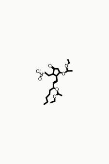 CCCCCC(C=CC1C(OC(C)OCC)CC(=O)C1CC[N+](=O)[O-])OC(C)OCC